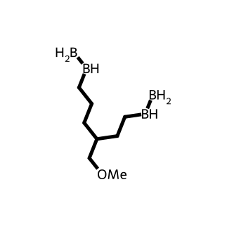 BBCCCC(CCBB)COC